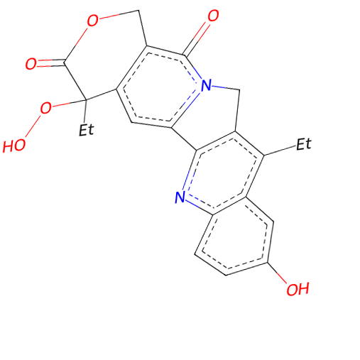 CCc1c2c(nc3ccc(O)cc13)-c1cc3c(c(=O)n1C2)COC(=O)C3(CC)OO